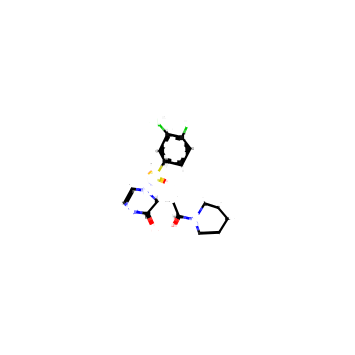 O=C1NC=CN(S(=O)(=O)c2ccc(Cl)c(Cl)c2)[C@@H]1CC(=O)N1CCCCC1